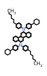 CCCCCCc1ccc(N(c2ccc(C3CCCCC3)cc2)c2cc3c4ccccc4c(N(c4ccc(CCCCCC)cc4)c4ccc(C5CCCCC5)cc4)cc3c3ccccc23)cc1